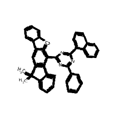 CC1(C)c2ccccc2-c2c1cc1c(oc3ccccc31)c2-c1nc(-c2ccccc2)nc(-c2cccc3ccccc23)n1